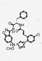 O=CNc1ccc2onc(NC(=O)[C@H](Cc3ccccc3)NC(=O)/C=C/c3cc(Cl)ccc3-n3cnnn3)c2c1